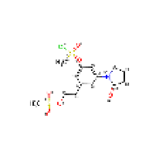 CS(=O)(=O)Cl.CS(=O)(=O)OCCc1cccc(N2CCCC2=O)c1